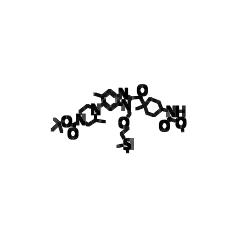 COC(=O)NC1CCC(C)(C(=O)c2nc3cc(C)c(N4CCN(C(=O)OC(C)(C)C)CC4C)cc3n2COCC[Si](C)(C)C)CC1